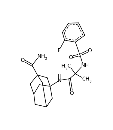 CC(C)(NS(=O)(=O)c1ccccc1F)C(=O)NC12CC3CC(C1)CC(C(N)=O)(C3)C2